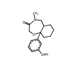 COc1cccc(C23CCCCC2CN(C)C(=O)CO3)c1